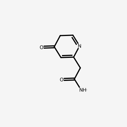 [NH]C(=O)CC1=CC(=O)CC=N1